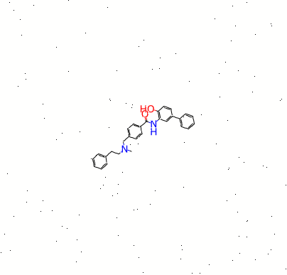 CN(CCc1ccccc1)Cc1ccc(C(=O)Nc2cc(-c3ccccc3)ccc2O)cc1